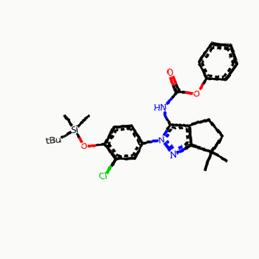 CC1(C)CCc2c1nn(-c1ccc(O[Si](C)(C)C(C)(C)C)c(Cl)c1)c2NC(=O)Oc1ccccc1